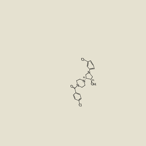 O=C(c1ccc(Cl)cc1)N1CCN([C@@H]2CN(c3cccc(Cl)c3)C[C@H]2O)CC1